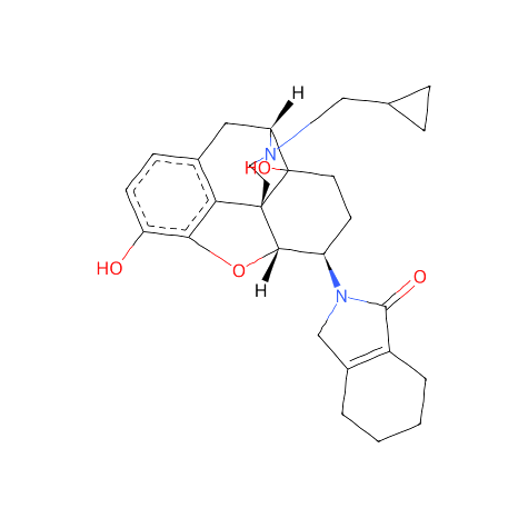 O=C1C2=C(CCCC2)CN1[C@@H]1CCC2(O)[C@H]3Cc4ccc(O)c5c4[C@@]2(CCN3CC2CC2)[C@H]1O5